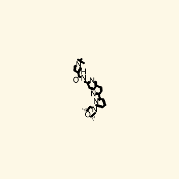 C[C@@H]1CN(c2cccc(-c3ccc4cnc(CNC(=O)c5ccn(C(C)(C)C)c5)cc4n3)n2)C[C@H](C)O1